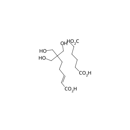 O=C(O)C=CCCC(CO)(CO)CO.O=C(O)CCCCC(=O)O